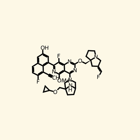 C#Cc1c(F)ccc2cc(O)cc(-c3nc(OC)c4c(N5CC6CCC(COC7CC7)(C5)N6)nc(OC[C@@]56CCCN5C/C(=C/F)C6)nc4c3F)c12